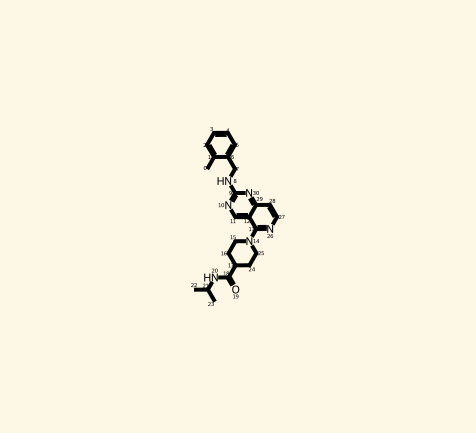 Cc1ccccc1CNc1ncc2c(N3CCC(C(=O)NC(C)C)CC3)nccc2n1